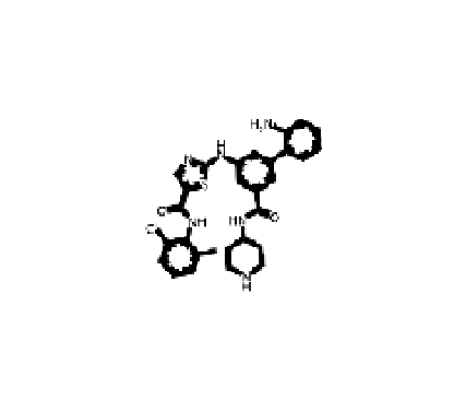 Cc1cccc(Cl)c1NC(=O)c1cnc(Nc2cc(C(=O)NC3CCNCC3)cc(-c3ccccc3N)c2)s1